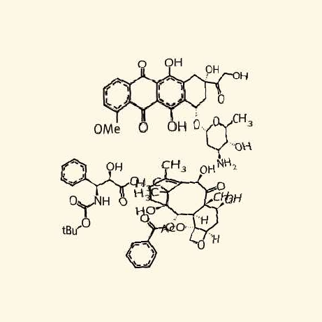 CC(=O)O[C@@]12CO[C@@H]1C[C@H](O)[C@@]1(C)C(=O)[C@H](O)C3=C(C)[C@@H](OC(=O)[C@H](O)[C@@H](NC(=O)OC(C)(C)C)c4ccccc4)C[C@@](O)([C@@H](OC(=O)c4ccccc4)[C@H]21)C3(C)C.COc1cccc2c1C(=O)c1c(O)c3c(c(O)c1C2=O)C[C@@](O)(C(=O)CO)C[C@@H]3O[C@H]1C[C@H](N)[C@@H](O)[C@H](C)O1